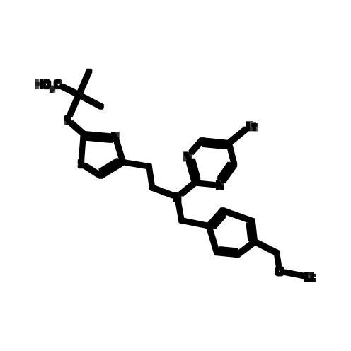 CCOCc1ccc(CN(CCc2csc(SC(C)(C)C(=O)O)n2)c2ncc(CC)cn2)cc1